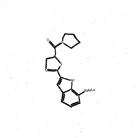 CNc1cccc2cc(C3=NCC(C(=O)N4CCCC4)S3)[nH]c12